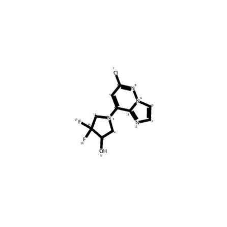 OC1CN(c2cc(Cl)nn3ccnc23)CC1(F)F